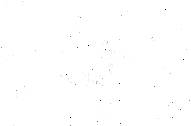 COc1cc(N2CCN(CC3CCN(c4ccc(C(=O)NC5CCC(Oc6ccc(C#N)c(Cl)c6)CC5)nn4)CC3)CC2)cc2c1C(=O)N([C@@H]1CCC(=O)NC1=O)C2=O